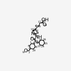 COCC1CCC(N(C(=O)Nc2ncc(SCCC(=O)O)s2)C2CCCCC2)CC1